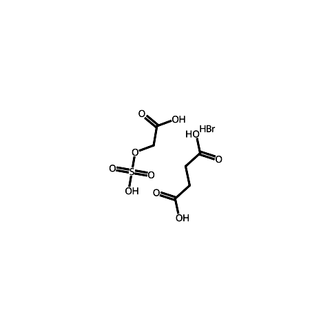 Br.O=C(O)CCC(=O)O.O=C(O)COS(=O)(=O)O